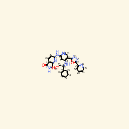 O=C1NCc2nc(Nc3cc(N[C@H](CO)c4ccccc4)c(-c4nnc(-c5ccccn5)o4)cn3)ccc21